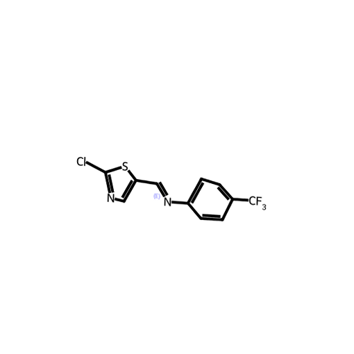 FC(F)(F)c1ccc(/N=C/c2cnc(Cl)s2)cc1